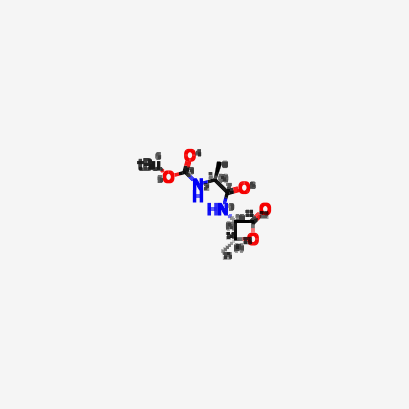 C[C@H](NC(=O)OC(C)(C)C)C(=O)N[C@@H]1C(=O)O[C@@H]1C